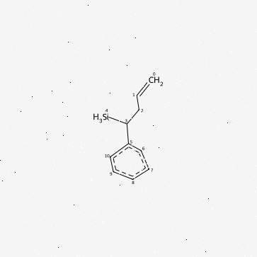 C=CCC([SiH3])c1ccccc1